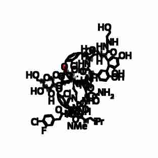 CN[C@H](CC(C)C)C(=O)N[C@H]1C(=O)N[C@@H](CC(N)=O)C(=O)N[C@H]2C(=O)N[C@H]3C(=O)N[C@H](C(=O)N[C@@H](C(=O)NNCCO)c4cc(O)cc(O)c4-c4cc3ccc4O)[C@H](O)c3ccc(c(Cl)c3)Oc3cc2cc(c3O[C@@H]2O[C@H](CO)[C@@H](O)[C@H](O)[C@H]2O[C@H]2C[C@](C)(NCCn3ccc(NC(=O)Cc4ccc(Cl)c(F)c4)nc3=O)[C@H](O)[C@H](C)O2)Oc2ccc(cc2Cl)[C@H]1O